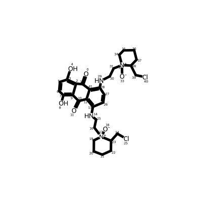 O=C1c2c(O)ccc(O)c2C(=O)c2c(NCC[N+]3([O-])CCCCC3CCl)ccc(NCC[N+]3([O-])CCCCC3CCl)c21